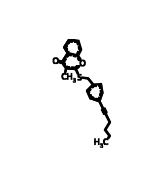 CCCCC#Cc1ccc(CSc2oc3ccccc3c(=O)c2C)cc1